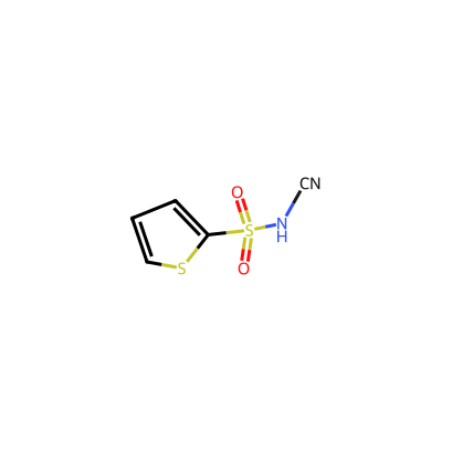 N#CNS(=O)(=O)c1cccs1